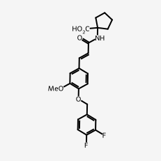 COc1cc(/C=C/C(=O)NC2(C(=O)O)CCCC2)ccc1OCc1ccc(F)c(F)c1